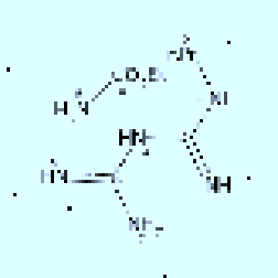 CCCNC(=N)NC(=N)N.CCOC(N)=O